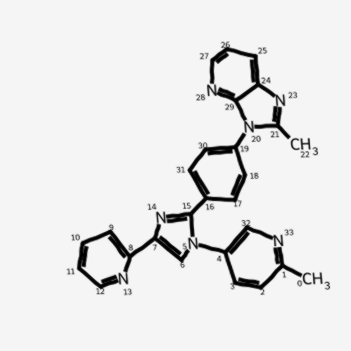 Cc1ccc(-n2cc(-c3ccccn3)nc2-c2ccc(-n3c(C)nc4cccnc43)cc2)cn1